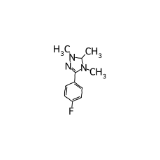 CC1N(C)N=C(c2ccc(F)cc2)N1C